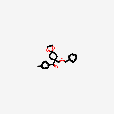 Cc1ccc(C(=O)C2(COCc3ccccc3)CCC3(CC2)OCCO3)cc1